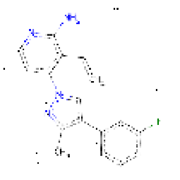 C=Cc1c(-n2cc(-c3cccc(F)c3)c(C)n2)ccnc1N